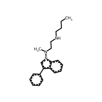 CCCCNCCN(C)n1cc(-c2ccccc2)c2ccccc21